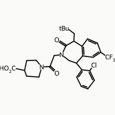 CC(C)(C)CC1C(=O)N(CC(=O)N2CCC(C(=O)O)CC2)CC(c2ccccc2Cl)c2cc(C(F)(F)F)ccc21